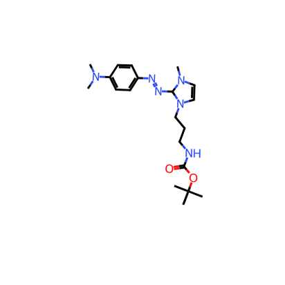 CN(C)c1ccc(N=NC2N(C)C=CN2CCCNC(=O)OC(C)(C)C)cc1